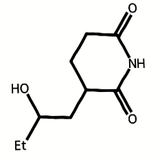 CCC(O)CC1CCC(=O)NC1=O